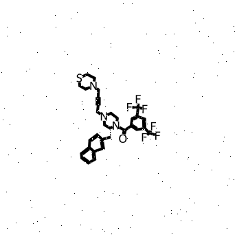 O=C(c1cc(C(F)(F)F)cc(C(F)(F)F)c1)N1CCN(CC#CCN2CCSCC2)C[C@H]1Cc1ccc2ccccc2c1